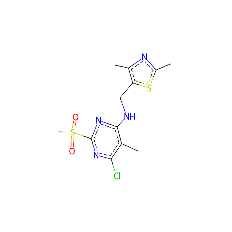 Cc1nc(C)c(CNc2nc(S(C)(=O)=O)nc(Cl)c2C)s1